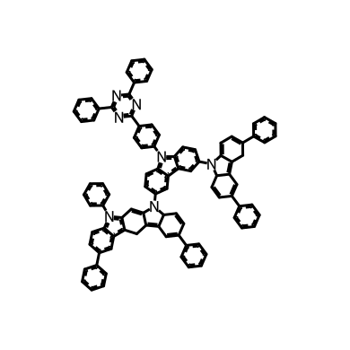 C1=CC2C(=C3CC(c4ccccc4)=CC=C3N2c2ccc3c(c2)c2cc(N4C5=Cc6c(c7cc(-c8ccccc8)ccc7n6-c6ccccc6)CC5=C5C=C(c6ccccc6)C=CC54)ccc2n3-c2ccc(-c3nc(-c4ccccc4)nc(-c4ccccc4)n3)cc2)C=C1c1ccccc1